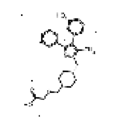 Cc1c(-c2cccc(O)c2)c(-c2ccccc2)nn1C[C@H]1CC[C@H](COCC(=O)O)CC1